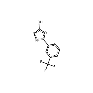 Oc1nnc(-c2cc(C(F)(F)F)ccn2)o1